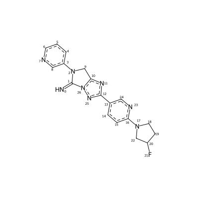 N=C1N(c2cccnc2)Cc2nc(-c3ccc(N4CCC(F)C4)nc3)nn21